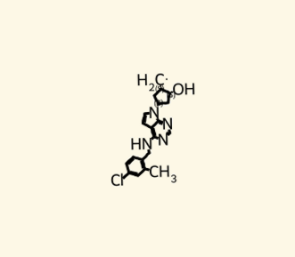 [CH2][C@H]1C[C@@H](n2ccc3c(NCc4ccc(Cl)cc4C)ncnc32)C[C@@H]1O